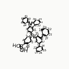 OB(O)c1ccc(N(c2cc(-c3ccccc3)cc(-c3ccccc3)c2)c2ccc3c(c2)c2ccccc2n3-c2ccccc2)cc1